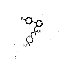 CC1(O)CCN(CC(C)(O)Cc2ccccc2-c2ccc(F)cc2)CC1